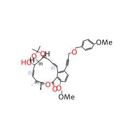 COCOc1ccc(C#CCOCc2ccc(OC)cc2)c2c1C(=O)O[C@@H](C)[C@H](C)/C=C\C(O)[C@H]1OC(C)(C)O[C@H]1C/C=C/2